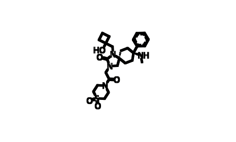 CN[C@]1(c2ccccc2)CC[C@]2(CC1)CN(CC(=O)N1CCS(=O)(=O)CC1)C(=O)N2CC1(O)CCC1